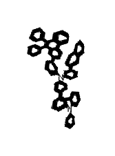 c1ccc(-c2c(-c3ccccc3)c3cc(-c4cccc(N(c5ccc(-c6cccc7c6c6ccccc6n7-c6ccccc6)cc5)c5cccc(-c6ccc7ccccc7c6)c5)c4)ccc3c3ccccc23)cc1